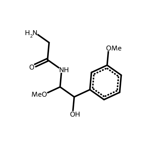 COc1cccc(C(O)C(NC(=O)CN)OC)c1